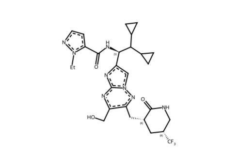 CCn1nccc1C(=O)N[C@H](c1cn2nc(C[C@H]3C[C@@H](C(F)(F)F)CNC3=O)c(CO)nc2n1)C(C1CC1)C1CC1